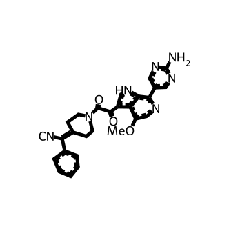 [C-]#[N+]C(=C1CCN(C(=O)C(=O)c2c[nH]c3c(-c4cnc(N)nc4)ncc(OC)c23)CC1)c1ccccc1